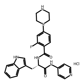 Cl.O=C(N[C@@H](Cc1c[nH]c2ccccc12)C(=O)Nc1ccncc1)c1ccc(N2CCNCC2)cc1F